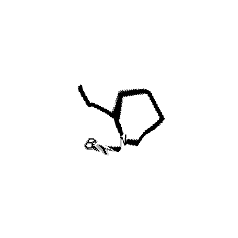 CCC1CCCCN1Br